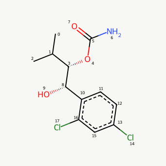 CC(C)[C@H](OC(N)=O)[C@@H](O)c1ccc(Cl)cc1Cl